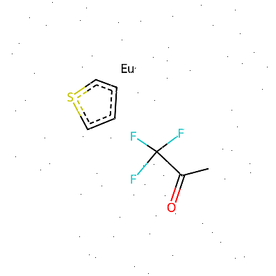 CC(=O)C(F)(F)F.[Eu].c1ccsc1